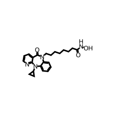 O=C(CCCCCCCN1C(=O)c2cccnc2N(C2CC2)c2ccccc21)NO